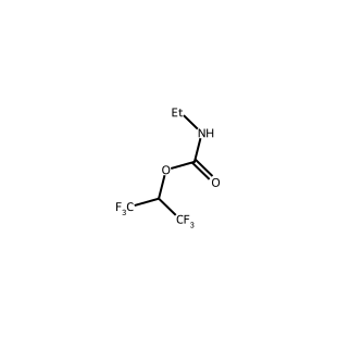 CCNC(=O)OC(C(F)(F)F)C(F)(F)F